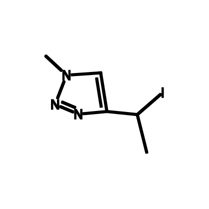 CC(I)c1cn(C)nn1